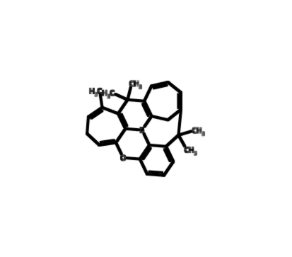 CC1=CCC=C2Oc3cccc4c3B3C5=C(C=CC=C(C5)C4(C)C)C(C)(C)C1=C32